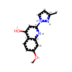 COc1ccc2c(O)cc(-n3ccc(C)n3)nc2c1